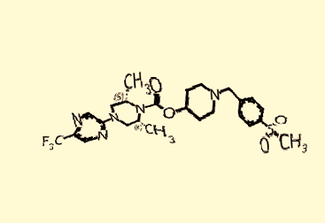 C[C@@H]1CN(c2cnc(C(F)(F)F)cn2)C[C@H](C)N1C(=O)OC1CCN(Cc2ccc(S(C)(=O)=O)cc2)CC1